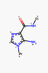 CCNC(=O)c1ncn(C(C)C)c1N